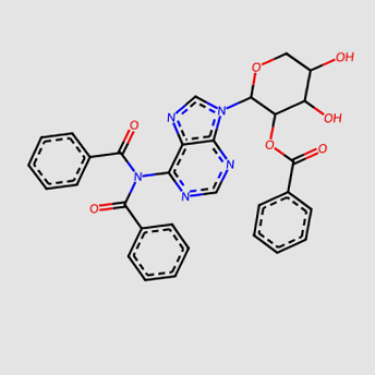 O=C(OC1C(O)C(O)COC1n1cnc2c(N(C(=O)c3ccccc3)C(=O)c3ccccc3)ncnc21)c1ccccc1